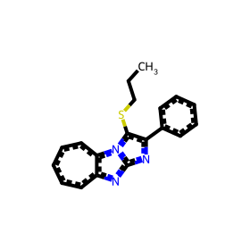 CCCSc1c(-c2ccccc2)nc2nc3cccccc3n12